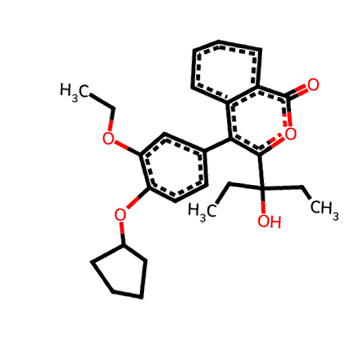 CCOc1cc(-c2c(C(O)(CC)CC)oc(=O)c3ccccc23)ccc1OC1CCCC1